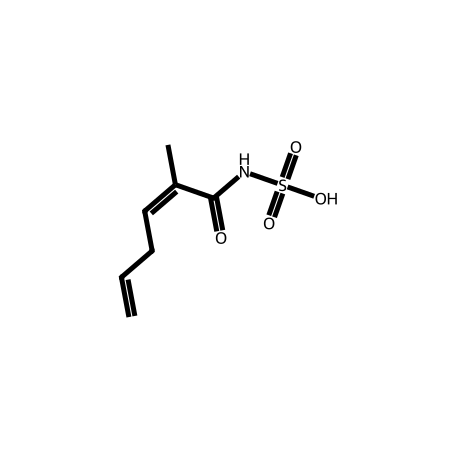 C=CCC=C(C)C(=O)NS(=O)(=O)O